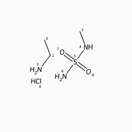 CCN.CNS(N)(=O)=O.Cl